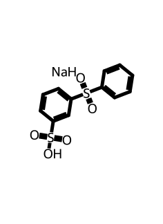 O=S(=O)(O)c1cccc(S(=O)(=O)c2ccccc2)c1.[NaH]